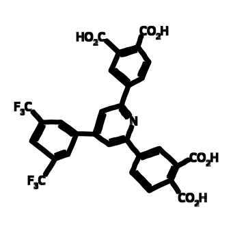 O=C(O)c1ccc(-c2cc(-c3cc(C(F)(F)F)cc(C(F)(F)F)c3)cc(-c3ccc(C(=O)O)c(C(=O)O)c3)n2)cc1C(=O)O